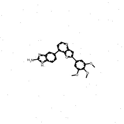 COc1cc(-c2cc3nccc(-c4ccc5[nH]c(N)nc5c4)c3o2)cc(OC)c1OC